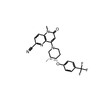 C[C@@H]1CN(c2cc(=O)n(C)c3ccc(C#N)nc23)CC[C@@H]1Oc1ccc(C(F)(F)F)cc1